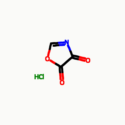 Cl.O=C1N=COC1=O